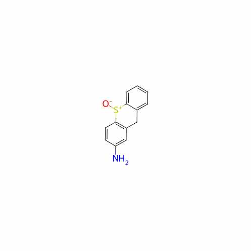 Nc1ccc2c(c1)Cc1ccccc1[S+]2[O-]